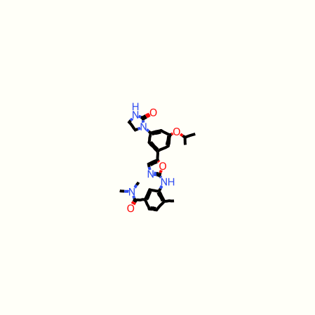 Cc1ccc(C(=O)N(C)C)cc1Nc1ncc(-c2cc(OC(C)C)cc(N3CCNC3=O)c2)o1